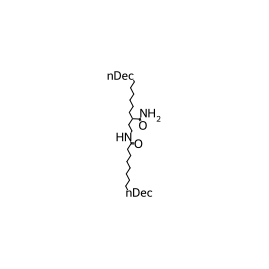 CCCCCCCCCCCCCCCCCC(=O)NCCC(CCCCCCCCCCCCCCCC)C(N)=O